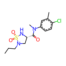 CCCN1C[C@@H](C(=O)N(C)c2ccc(Cl)c(C)c2)NS1(=O)=O